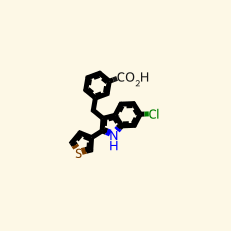 O=C(O)c1cccc(Cc2c(-c3ccsc3)[nH]c3cc(Cl)ccc23)c1